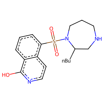 CCCCC1CNCCCN1S(=O)(=O)c1cccc2c(O)nccc12